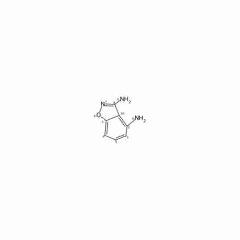 Nc1cccc2onc(N)c12